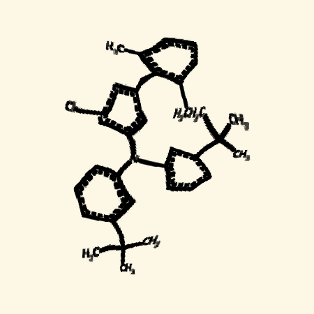 Cc1cccc(C)c1-c1cc(Cl)cc(N(c2cccc(C(C)(C)C)c2)c2cccc(C(C)(C)C)c2)c1